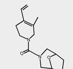 C=CC1=C(C)CN(C(=O)N2CC3CCC(C2)O3)CC1